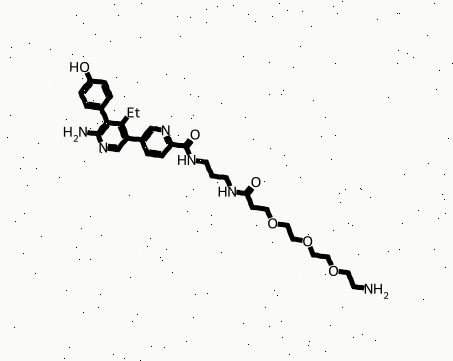 CCc1c(-c2ccc(C(=O)NCCCNC(=O)CCOCCOCCOCCN)nc2)cnc(N)c1-c1ccc(O)cc1